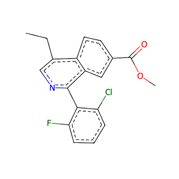 CCc1cnc(-c2c(F)cccc2Cl)c2cc(C(=O)OC)ccc12